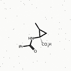 CC(C)C(=O)N[C@]1(C(=O)O)CC1C